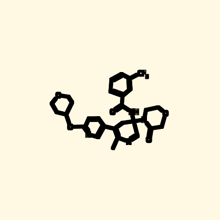 CC1=C(c2ccc(OC3CCOCC3)nc2)CC(NC(=O)c2cccc(C(F)(F)F)c2)(N2CCOCC2=O)C=N1